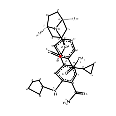 Cc1cc(C(N)=O)c(NC2CCCC2)cc1C(=O)N[C@H]1C[C@H]2CC[C@@H](C1)N2c1ccc(C(=O)C2CC2)cn1